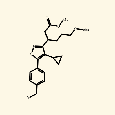 CCCCOCCCC(CC(=O)OC(C)(C)C)c1noc(-c2ccc(CC(C)C)cc2)c1C1CC1